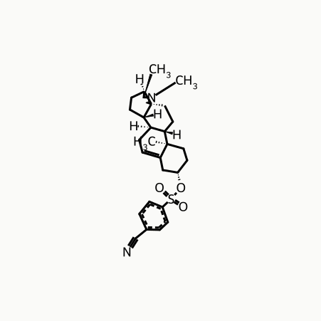 C[C@H]1[C@H]2CC[C@H]3[C@@H]4CC=C5C[C@@H](OS(=O)(=O)c6ccc(C#N)cc6)CC[C@]5(C)[C@H]4CC[C@]23CN1C